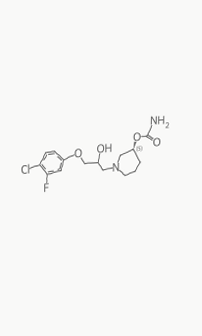 NC(=O)O[C@H]1CCCN(CC(O)COc2ccc(Cl)c(F)c2)C1